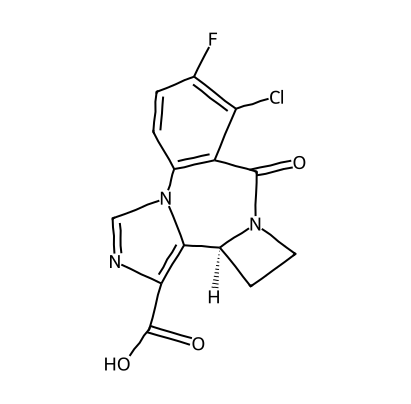 O=C(O)c1ncn2c1[C@@H]1CCN1C(=O)c1c-2ccc(F)c1Cl